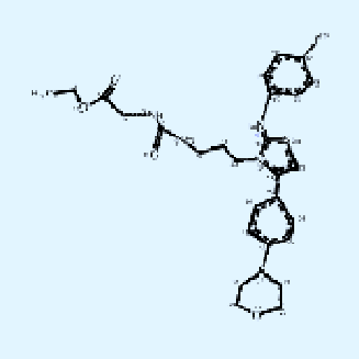 CCOC(=O)CNC(=O)NCCCn1c(-c2ccc(N3CCOCC3)cc2)cs/c1=N\c1ccc(F)cc1